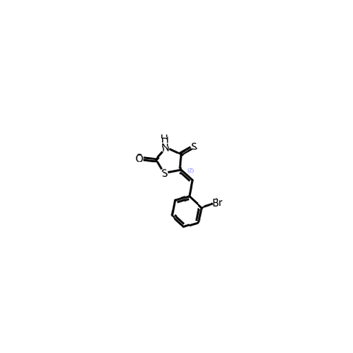 O=C1NC(=S)/C(=C/c2ccccc2Br)S1